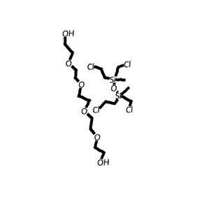 C[Si](CCl)(CCCl)O[Si](C)(CCl)CCCl.OCCOCCOCCOCCOCCO